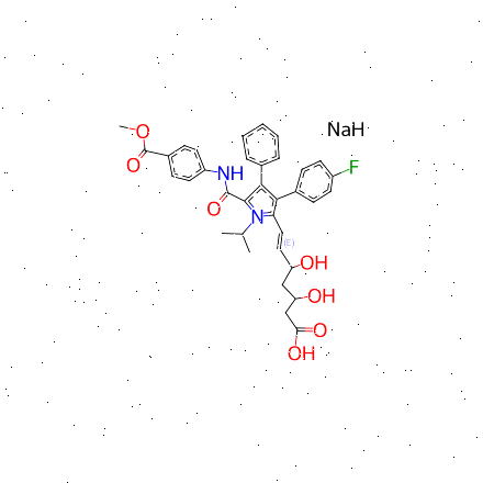 COC(=O)c1ccc(NC(=O)c2c(-c3ccccc3)c(-c3ccc(F)cc3)c(/C=C/C(O)CC(O)CC(=O)O)n2C(C)C)cc1.[NaH]